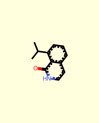 CC(C)c1cccc2cc[nH]c(=O)c12